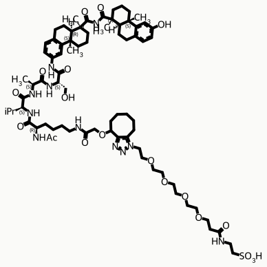 CC(=O)N[C@H](CCCCNC(=O)COC1CCCCCc2c1nnn2CCOCCOCCOCCOCCC(=O)NCCS(=O)(=O)O)C(=O)N[C@H](C(=O)N[C@@H](C)C(=O)N[C@@H](CO)C(=O)Nc1ccc2c(c1)[C@@]1(C)CCC[C@](C)(C(=O)NC(=O)[C@@]3(C)CCC[C@]4(C)c5cc(O)ccc5CC[C@@H]34)[C@@H]1CC2)C(C)C